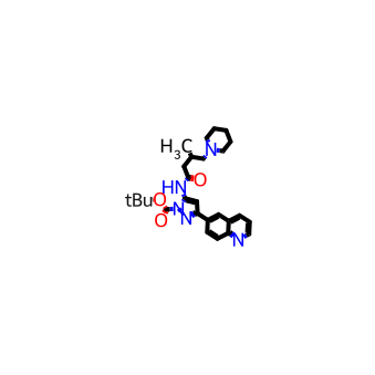 CC(CC(=O)Nc1cc(-c2ccc3ncccc3c2)nn1C(=O)OC(C)(C)C)CN1CCCCC1